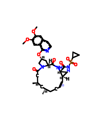 COc1cc2ccnc(O[C@@H]3C[C@H]4C(=O)N[C@]5(C(=O)NS(=O)(=O)C6CC6)C[C@H]5/C=C\CC[C@H](C)C[C@@H](C)CC(=O)N4C3)c2cc1OC